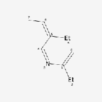 C=C(CC)/N=C\C(=C/C)CC